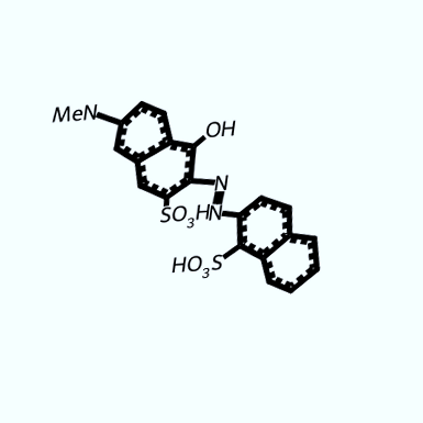 CNc1ccc2c(O)c(N=Nc3ccc4ccccc4c3S(=O)(=O)O)c(S(=O)(=O)O)cc2c1